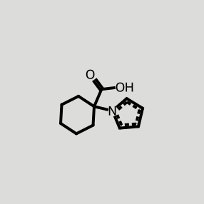 O=C(O)C1(n2cccc2)CCCCC1